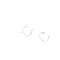 O=C(O)c1cnc(Oc2ccc(Cl)cc2)c(Br)c1